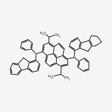 CC(C)c1cc(N(c2ccccc2)c2cccc3c2CC2=C3CCCC2)c2ccc3c(C(C)C)cc(N(c4ccccc4)c4cccc5c4Cc4ccccc4-5)c4ccc1c2c34